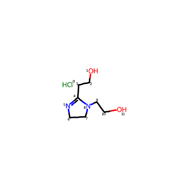 Cl.OCCC1=NCCN1CCO